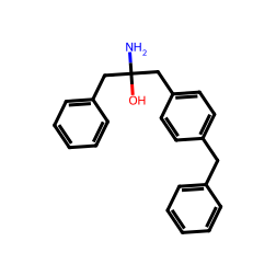 NC(O)(Cc1ccccc1)Cc1ccc(Cc2ccccc2)cc1